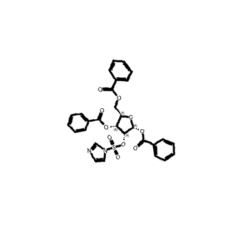 O=C(OC[C@H]1O[C@H](OC(=O)c2ccccc2)[C@H](OS(=O)(=O)n2ccnc2)[C@@H]1OC(=O)c1ccccc1)c1ccccc1